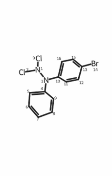 ClN(Cl)N(c1ccccc1)c1ccc(Br)cc1